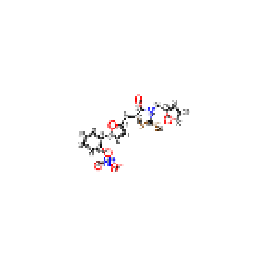 O=C1/C(=C/c2ccc(-c3ccccc3O[N+](=O)[O-])o2)SC(=S)N1Cc1ccco1